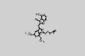 CCc1cc(OC)cc2c(/C=C3\Oc4cccc(O)c4C3=O)cn(CCCC#N)c12